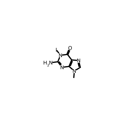 Cn1cnc2c(=O)n(I)c(N)nc21